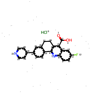 Cl.O=C(O)c1c2c(nc3ccc(F)cc13)-c1ccc(-c3ccncc3)cc1CC2